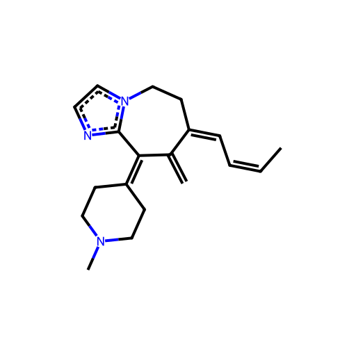 C=C1C(=C2CCN(C)CC2)c2nccn2CC/C1=C/C=C\C